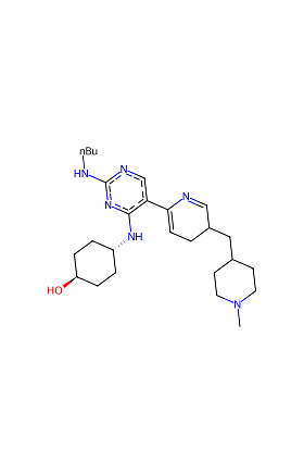 CCCCNc1ncc(C2=CCC(CC3CCN(C)CC3)C=N2)c(N[C@H]2CC[C@H](O)CC2)n1